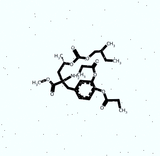 CCC(=O)Oc1ccc(CC(N)(C[C@H](C)OC(=O)OCC(C)CC)C(=O)OC)cc1OC(=O)CC